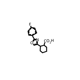 O=C(O)C1CCCCC1c1coc(-c2ccc(F)cc2)n1